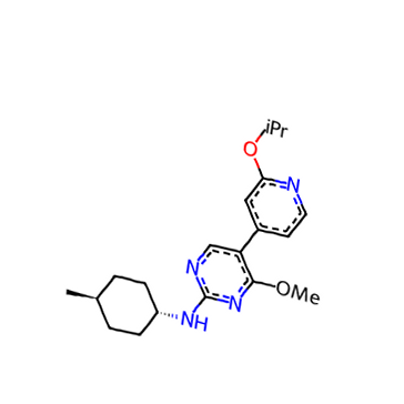 COc1nc(N[C@H]2CC[C@H](C)CC2)ncc1-c1ccnc(OC(C)C)c1